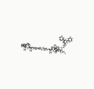 CC(C)(CCCCOc1cc(-c2ccccc2)cc(-c2ccccc2)n1)CNC(=O)C(N)CC(=O)NCCCOCCOCCOCCCNC(=O)CC1NC(=O)NC1=O